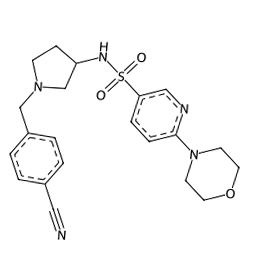 N#Cc1ccc(CN2CCC(NS(=O)(=O)c3ccc(N4CCOCC4)nc3)C2)cc1